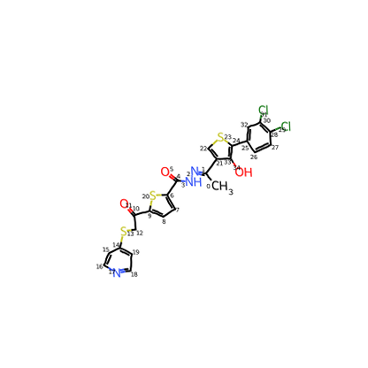 C/C(=N\NC(=O)c1ccc(C(=O)CSc2ccncc2)s1)c1csc(-c2ccc(Cl)c(Cl)c2)c1O